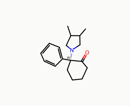 CC1CN([C@@]2(c3ccccc3)CCCCC2=O)CC1C